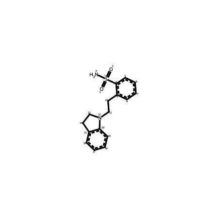 NS(=O)(=O)c1ccccc1CCN1CCc2ccccc21